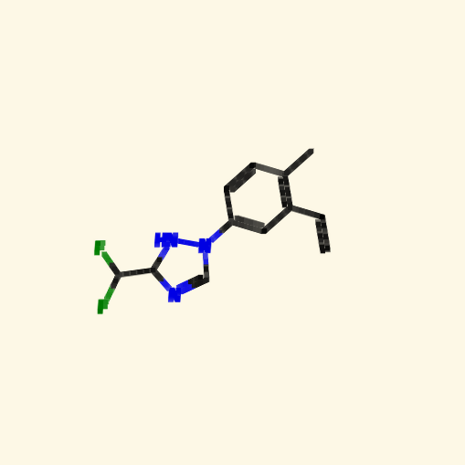 C=Cc1cc(N2C=NC(C(F)F)N2)ccc1C